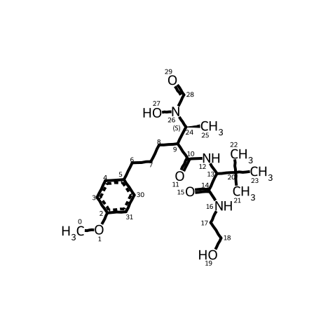 COc1ccc(CCCC(C(=O)NC(C(=O)NCCO)C(C)(C)C)[C@H](C)N(O)C=O)cc1